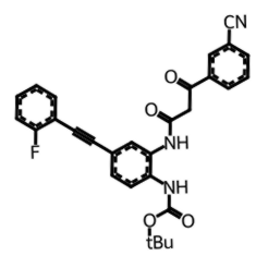 CC(C)(C)OC(=O)Nc1ccc(C#Cc2ccccc2F)cc1NC(=O)CC(=O)c1cccc(C#N)c1